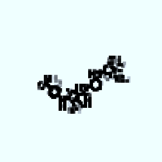 CCCNc1nc(Nc2ccc(C(N)=O)cc2)ncc1C(=O)NC1CCCC(NC(=O)CN(C)C(=O)OC(C)(C)C)C1